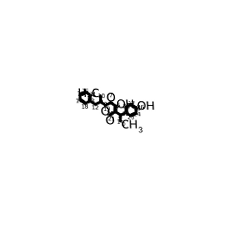 CCC(C1=C(O)C(=O)C(C(CC)Cc2ccccc2)OC1=O)c1ccc(O)cc1